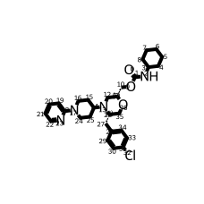 O=C(NC1CCCCC1)OC[C@H]1CN(C2CCN(c3ccccn3)CC2)[C@@H](Cc2ccc(Cl)cc2)CO1